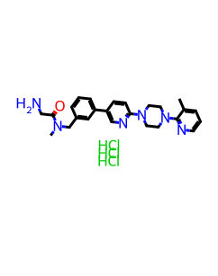 Cc1cccnc1N1CCN(c2ccc(-c3cccc(CN(C)C(=O)CN)c3)cn2)CC1.Cl.Cl.Cl